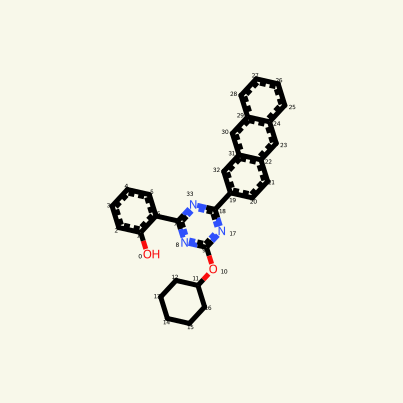 Oc1ccccc1-c1nc(OC2CCCCC2)nc(-c2ccc3cc4ccccc4cc3c2)n1